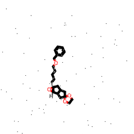 c1ccc(COCCCCC[C@]23CC4CC5(CC4[C@@H]2O3)OCCO5)cc1